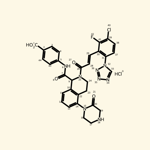 Cl.O=C(O)c1ccc(NC(=O)C2c3cccc(N4CCNCC4=O)c3CCN2C(=O)C=Cc2c(-n3cnnn3)ccc(Cl)c2F)cc1